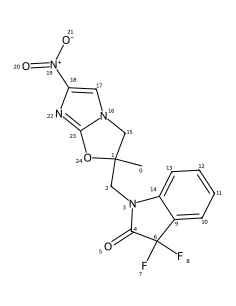 CC1(CN2C(=O)C(F)(F)c3ccccc32)Cn2cc([N+](=O)[O-])nc2O1